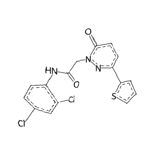 O=C(Cn1nc(-c2cccs2)ccc1=O)Nc1ccc(Cl)cc1Cl